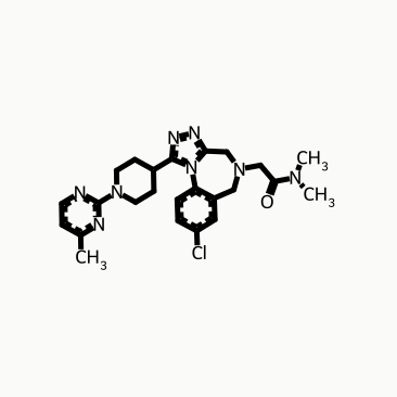 Cc1ccnc(N2CCC(c3nnc4n3-c3ccc(Cl)cc3CN(CC(=O)N(C)C)C4)CC2)n1